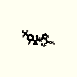 CC(C)n1nccc1NC(=O)C1(c2ccc(C(F)(F)F)cc2F)CC1